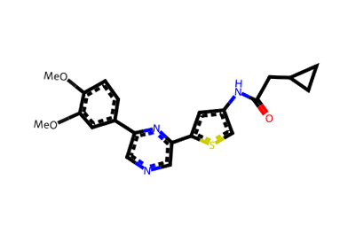 COc1ccc(-c2cncc(-c3cc(NC(=O)CC4CC4)cs3)n2)cc1OC